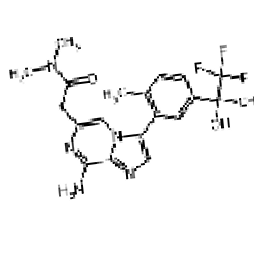 Cc1ccc(C(C)(O)C(F)(F)F)cc1-c1cnc2c(N)nc(CC(=O)N(C)C)cn12